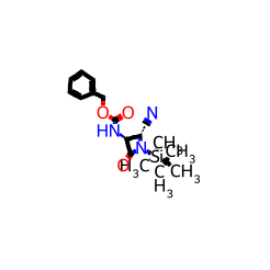 CC(C)(C)[Si](C)(C)N1C(=O)[C@@H](NC(=O)OCc2ccccc2)[C@@H]1C#N